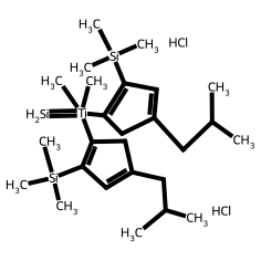 CC(C)CC1=CC([Si](C)(C)C)=[C]([Ti]([CH3])([CH3])(=[SiH2])[C]2=C([Si](C)(C)C)C=C(CC(C)C)C2)C1.Cl.Cl